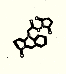 O=C(Cn1c2cccc(=O)c-2cc2ccccc21)ON1C(=O)CCC1=O